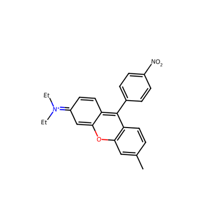 CC[N+](CC)=c1ccc2c(-c3ccc([N+](=O)[O-])cc3)c3ccc(C)cc3oc-2c1